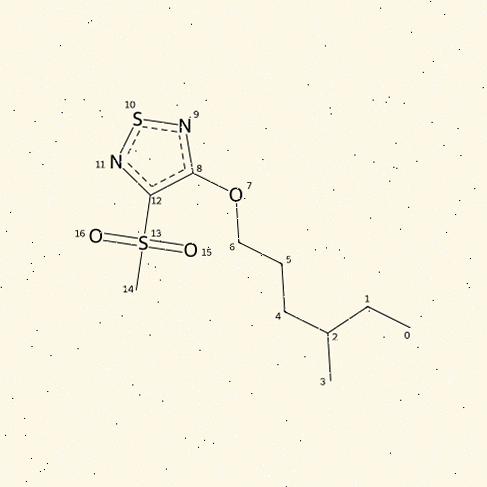 CCC(C)CCCOc1nsnc1S(C)(=O)=O